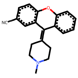 CN1CCC(=C2c3ccccc3Oc3ccc(C#N)cc32)CC1